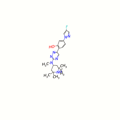 CN(c1ncc(-c2ccc(-n3cc(F)cn3)cc2O)nn1)C1CC(C)(C)NC(C)(C)C1